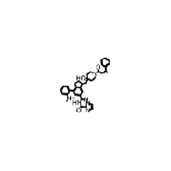 CNc1ccccc1-c1cc(-c2nn3ccnc3c(=O)[nH]2)cc2c1CCC2CC1(O)CCN(C(=O)C[C@@H](C)c2ccccc2)CC1